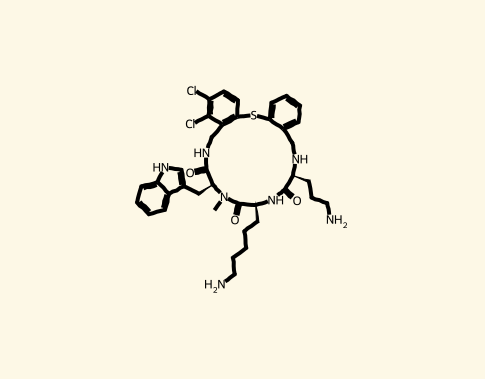 CN1C(=O)[C@H](CCCCCN)NC(=O)[C@H](CCCN)NCc2ccccc2Sc2ccc(Cl)c(Cl)c2CNC(=O)[C@@H]1Cc1c[nH]c2ccccc12